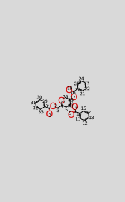 O=C(OCC1C[C@H](OC(=O)c2ccccc2)[C@H](OC(=O)c2ccccc2)CO1)c1ccccc1